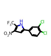 O=[N+]([O-])c1cc(-c2ccc(Cl)c(Cl)c2)[nH]c1C(F)(F)F